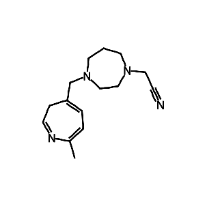 CC1=CC=C(CN2CCCN(CC#N)CC2)CC=N1